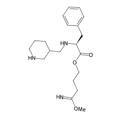 COC(=N)CCCOC(=O)[C@H](Cc1ccccc1)NCC1CCCNC1